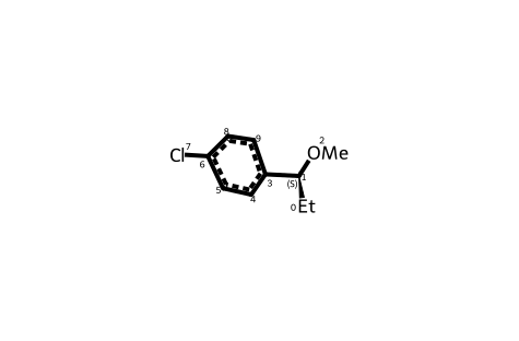 CC[C@H](OC)c1ccc(Cl)cc1